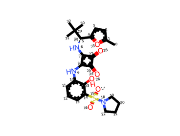 Cc1ccc([C@H](Nc2c(Nc3cccc(S(=O)(=O)N4CCCC4)c3O)c(=O)c2=O)C(C)(C)C)o1